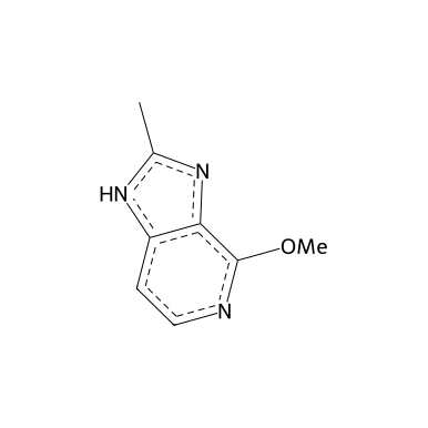 COc1nccc2[nH]c(C)nc12